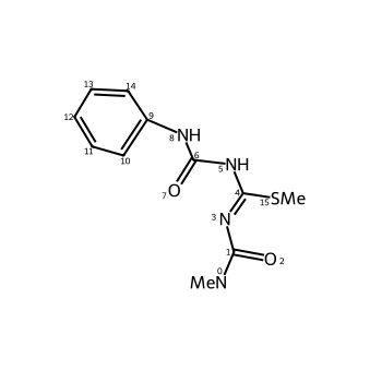 CNC(=O)N=C(NC(=O)Nc1ccccc1)SC